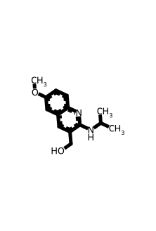 COc1ccc2nc(NC(C)C)c(CO)cc2c1